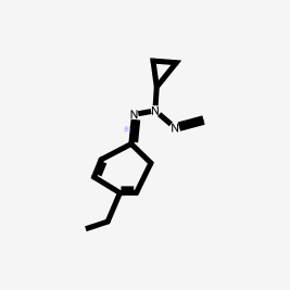 C=NN(/N=C1/C=CC(CC)=CC1)C1CC1